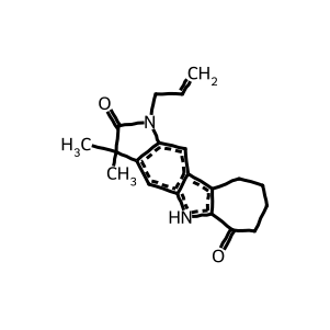 C=CCN1C(=O)C(C)(C)c2cc3[nH]c4c(c3cc21)CCCCC4=O